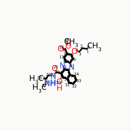 CCCCOc1cc2nc3c(nc2cc1C(=O)OC)c(C(=O)NCC(C)NC)c(O)c1ccccc13